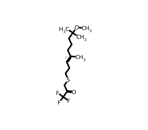 COC(C)(C)CCC/C(C)=C/CCSCC(=O)C(F)(F)F